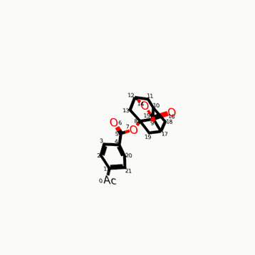 CC(=O)c1ccc(C(=O)OC23CC4CC(C2)OC(=O)C(C4)C3)cc1